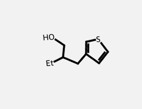 CCC(CO)Cc1ccsc1